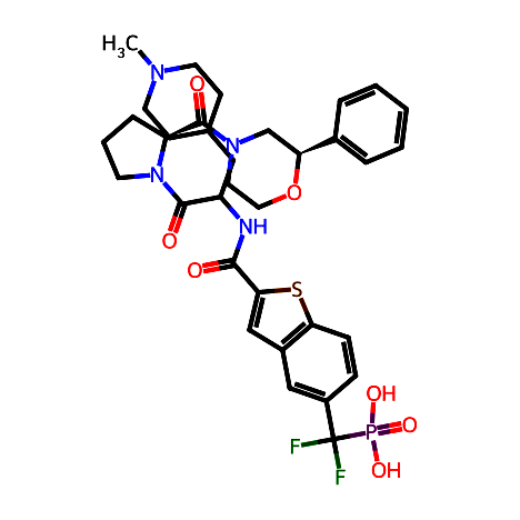 CN1CCC(CC(NC(=O)c2cc3cc(C(F)(F)P(=O)(O)O)ccc3s2)C(=O)N2CCC[C@H]2C(=O)N2CCO[C@H](c3ccccc3)C2)CC1